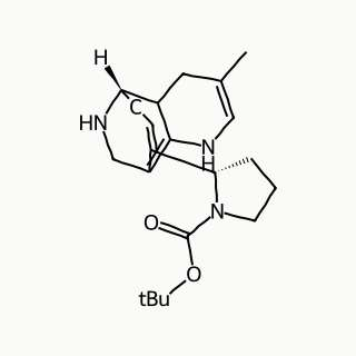 CC1=CNC2=C3CN[C@@H](CC=C3[C@@H]3CCCN3C(=O)OC(C)(C)C)C2C1